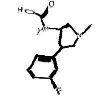 CN1CC(NC(=O)O)C(c2cccc(F)c2)C1